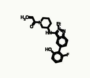 C=CC(=O)N1CCCC(Nc2c3cc(-c4c(O)cccc4F)ccc3nn2CC)C1